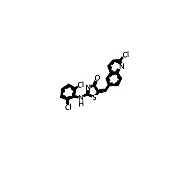 O=C1N=C(Nc2c(Cl)cccc2Cl)SC1=Cc1ccc2nc(Cl)ccc2c1